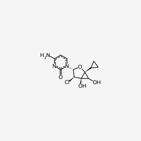 Nc1ccn([C@@H]2O[C@]3(C4CC4)C(O)[C@]3(O)[C@H]2Cl)c(=O)n1